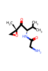 CC(C)[C@H](NC(=O)CN)C(=O)[C@@]1(C)CO1